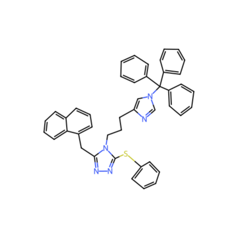 c1ccc(Sc2nnc(Cc3cccc4ccccc34)n2CCCc2cn(C(c3ccccc3)(c3ccccc3)c3ccccc3)cn2)cc1